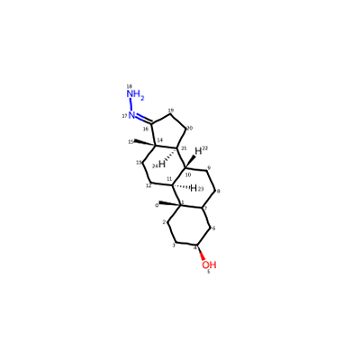 C[C@]12CC[C@H](O)CC1CC[C@@H]1[C@@H]2CC[C@]2(C)/C(=N/N)CC[C@@H]12